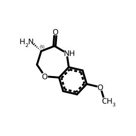 COc1ccc2c(c1)NC(=O)[C@@H](N)CO2